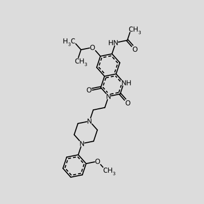 COc1ccccc1N1CCN(CCn2c(=O)[nH]c3cc(NC(C)=O)c(OC(C)C)cc3c2=O)CC1